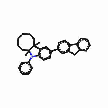 CC12CCCCCCC1(C)N(c1ccccc1)c1ccc(-c3ccc4c(c3)Cc3ccccc3-4)cc12